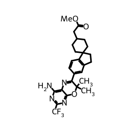 COC(=O)CC1CCC2(CCc3cc(C4=Nc5c(N)nc(C(F)(F)F)nc5OC4(C)C)ccc32)CC1